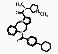 CN1CCC(N(C)C(=O)c2ccc3n2Cc2ccccc2N(C(=O)c2ccc(C4CCCCC4)cc2)C3)C1